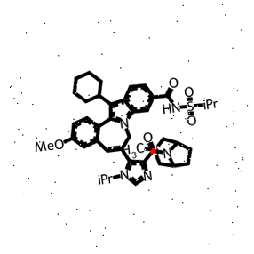 COc1ccc2c(c1)C=C(c1c(C(=O)N3C4CCC3CN(C)C4)ncn1C(C)C)Cn1c-2c(C2CCCCC2)c2ccc(C(=O)NS(=O)(=O)C(C)C)cc21